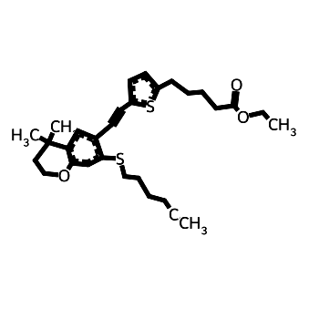 CCCCCCSc1cc2c(cc1C#Cc1ccc(CCCCC(=O)OCC)s1)C(C)(C)CCO2